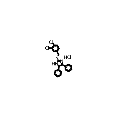 Cl.Clc1ccc(CSC2=NC(c3ccccc3)C(c3ccccc3)N2)cc1Cl